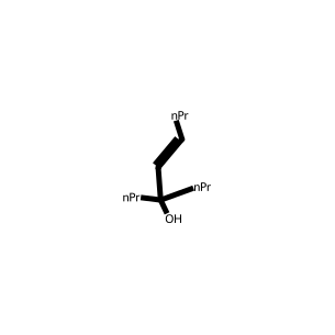 [CH2]CCC=CC(O)(CCC)CCC